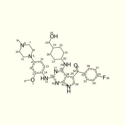 COc1cc(N2CCN(C)CC2)ccc1Nc1nc(NC2CCC(CO)CC2)c2c(C(=O)c3ccc(F)cc3)c[nH]c2n1